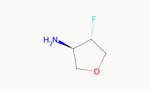 N[C@@H]1COC[C@H]1F